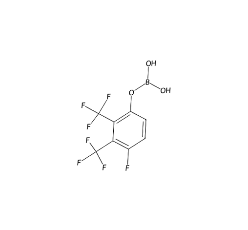 OB(O)Oc1ccc(F)c(C(F)(F)F)c1C(F)(F)F